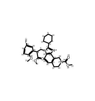 COC(=O)C(Cn1c(C2CCCCC2)nc2c3c(ccc21)CCN(C(=O)OC)C3)c1cc(F)ccc1OC